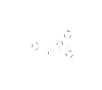 Cc1ccc(CCC(=O)N2CCn3c(nc(-c4ccc(F)cc4)c3Nc3ccc(Cl)cc3)C2)cc1